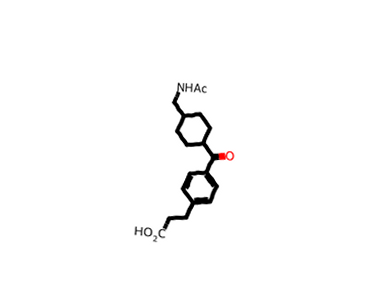 CC(=O)NCC1CCC(C(=O)c2ccc(CCC(=O)O)cc2)CC1